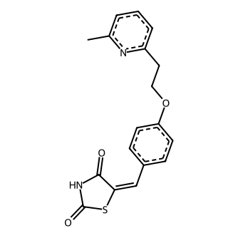 Cc1cccc(CCOc2ccc(C=C3SC(=O)NC3=O)cc2)n1